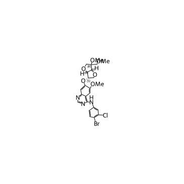 COC[C@@]1(OC)CO[C@@H]2[C@@H](Oc3cc4ncnc(Nc5ccc(Br)c(Cl)c5)c4cc3OC)CO[C@@H]21